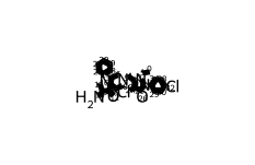 CCn1c(CN2CCC3(CC2)C(=O)C(N)CN3c2ccccc2)c(Cl)c(=O)n1-c1ccc(Cl)cc1